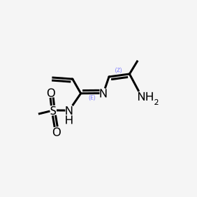 C=C/C(=N\C=C(\C)N)NS(C)(=O)=O